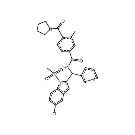 Cc1cc(C(=O)NC(c2ccccc2)c2cc3cc(Cl)ccc3n2S(C)(=O)=O)ccc1C(=O)N1CCCC1